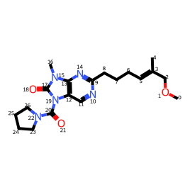 COC/C(C)=C/CCCc1ncc2c(n1)n(C)c(=O)n2C(=O)N1CCCC1